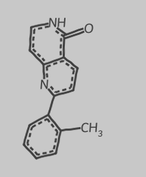 Cc1ccccc1-c1ccc2c(=O)[nH]ccc2n1